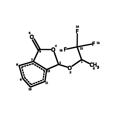 CC(OC1OC(=O)c2ccccc21)C(F)(F)F